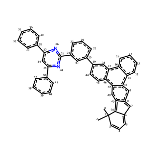 CC1(C)C=CC=C2C=c3cc4c5ccccc5c5cc(-c6cccc(-c7nc(-c8ccccc8)cc(-c8ccccc8)n7)c6)ccc5c4cc3=C21